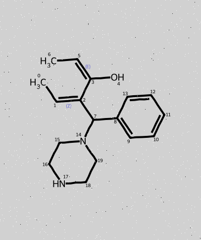 C/C=C(\C(O)=C/C)C(c1ccccc1)N1CCNCC1